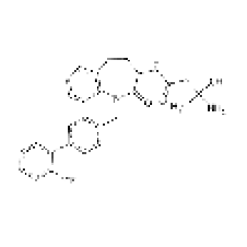 CC(C)(N)CC(=O)NC1CCc2ccccc2N(Cc2ccc(-c3ccccc3C(F)(F)F)cc2)C1=O